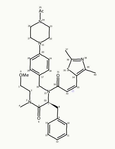 COCCN(C)C(=O)[C@H](Cc1ccccc1)N(Cc1ccc(N2CCN(C(C)=O)CC2)cc1)C(=O)/C=C\c1sc(C)nc1C